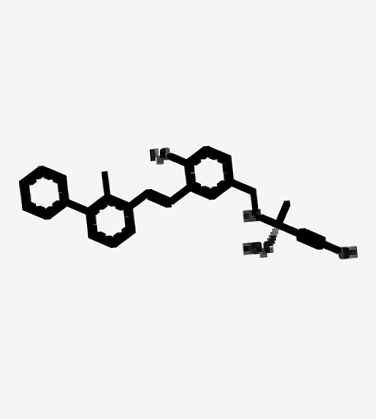 Cc1c(/C=C/c2cc(CN[C@@](C)(C#CO)C(=O)O)ccc2C(F)(F)F)cccc1-c1ccccc1